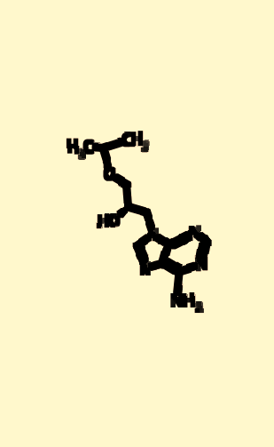 CC(C)OC[C@H](O)Cn1cnc2c(N)ncnc21